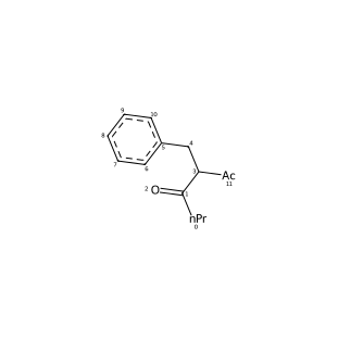 CCCC(=O)C(Cc1ccccc1)C(C)=O